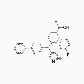 O=C(O)C1CCN(C(c2ccc(-c3ccccc3)nc2)c2cn[nH]c2-c2ccccc2F)CC1